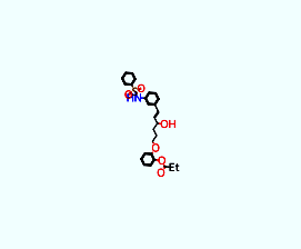 CCC(=O)Oc1ccccc1OCCCC(O)C=Cc1cccc(NS(=O)(=O)c2ccccc2)c1